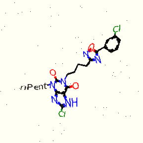 CCCCCn1c(=O)n(CCCCc2noc(-c3cccc(Cl)c3)n2)c(=O)c2[nH]c(Cl)nc21